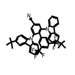 CC(C)(C)c1ccc2c(c1)c1ccccc1n2-c1cc(C#N)cc(-n2c3ccccc3c3cc(C(C)(C)C)ccc32)c1-c1cc(C(F)(F)F)cc(C(F)(F)F)c1